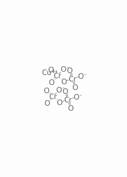 [Cu+4].[O]=[Cr](=[O])([O-])[O][Cr](=[O])(=[O])[O-].[O]=[Cr](=[O])([O-])[O][Cr](=[O])(=[O])[O-]